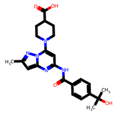 Cc1cc2nc(NC(=O)c3ccc(C(C)(C)O)cc3)cc(N3CCC(C(=O)O)CC3)n2n1